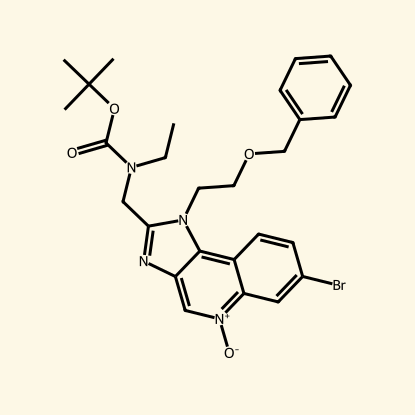 CCN(Cc1nc2c[n+]([O-])c3cc(Br)ccc3c2n1CCOCc1ccccc1)C(=O)OC(C)(C)C